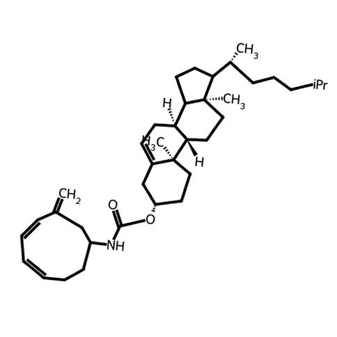 C=C1/C=C\C=C/CCC(NC(=O)O[C@H]2CC[C@@]3(C)C(=CC[C@H]4C5CCC([C@H](C)CCCC(C)C)[C@@]5(C)CC[C@@H]43)C2)C1